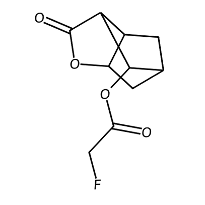 O=C(CF)OC1C2CC3OC(=O)C1C3C2